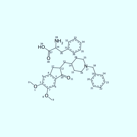 COc1cc2c(cc1OC)C(=O)C(CC1CCN(Cc3ccccc3)CC1)C2.NC(Cc1ccccc1)C(=O)O